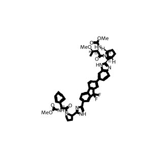 COC(=O)N[C@H](C(=O)N1[C@@H]2CC[C@@H](C2)[C@H]1c1nc2ccc(-c3ccc4c(c3)C(F)(F)c3cc(-c5c[nH]c(C6CCCN6C(=O)[C@H](NC(=O)OC)c6ccccc6)n5)ccc3-4)cc2[nH]1)[C@@H](C)OC